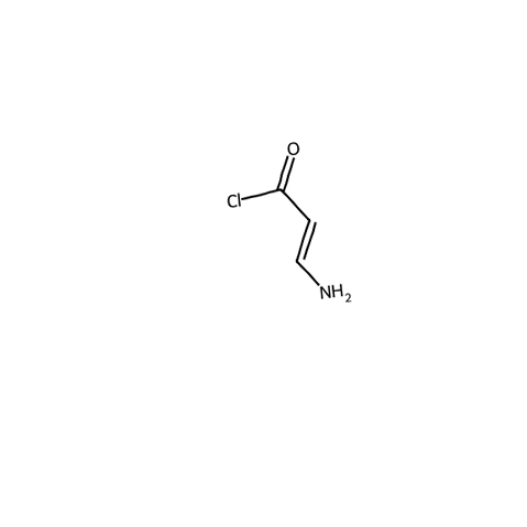 N/C=C/C(=O)Cl